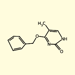 Cc1c[nH]c(=O)nc1OCc1ccccc1